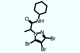 CC(C(=O)NC1CCCCC1)n1nc(Br)c(Br)c1Br